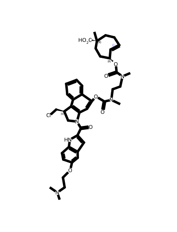 CN(C)CCOc1ccc2[nH]c(C(=O)N3C[C@@H](CCl)c4c3cc(OC(=O)N(C)CCN(C)C(=O)O[C@H]3/C=C/CC[C@@](C)(C(=O)O)CC3)c3ccccc43)cc2c1